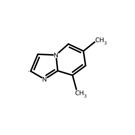 Cc1cc(C)c2n[c]cn2c1